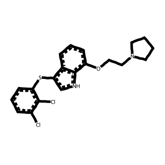 Clc1cccc(Sc2c[nH]c3c(OCCN4CCCC4)cccc23)c1Cl